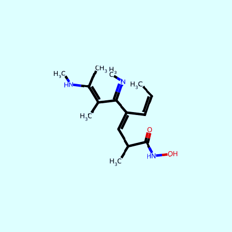 C\C=C/C(=C\C(C)C(=O)NO)C(=N/C)/C(C)=C(\C)NC